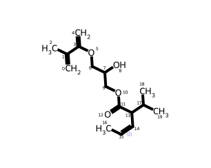 C=C(C)C(=C)OCC(O)COC(=O)C(/C=C\C)C(C)C